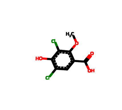 COc1c(C(=O)O)cc(Cl)c(O)c1Cl